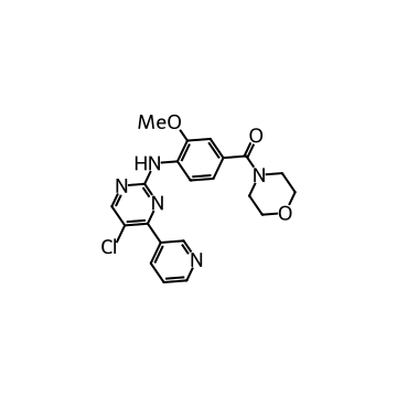 COc1cc(C(=O)N2CCOCC2)ccc1Nc1ncc(Cl)c(-c2cccnc2)n1